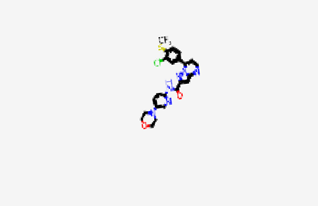 O=C(Nc1ccc(N2CCOCC2)cn1)c1cc2nccc(-c3ccc(SC(F)(F)F)c(Cl)c3)n2n1